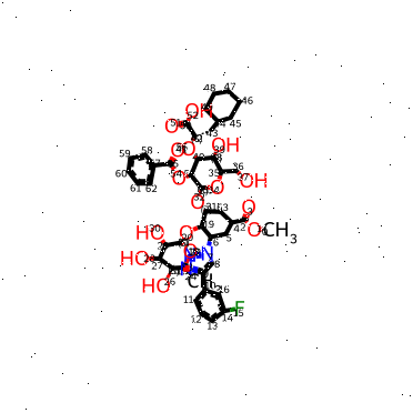 COC(=O)C1CC(n2cc(-c3cccc(F)c3)nn2)C(O[C@@H]2OC(C)[C@@H](O)C(O)C2O)[C@H](O[C@@H]2OC(CO)[C@H](O)C(O[C@@H](CC3CCCCC3)C(=O)O)C2OC(=O)c2ccccc2)C1